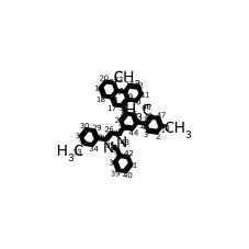 Cc1ccc(-c2cc(C3=C4CCC=CC4C4C(=C3)C=CCC4C)cc(-c3cc(C4=CC=CC(C)C4)nc(C4C=CC=CC4)n3)c2)c(C)c1